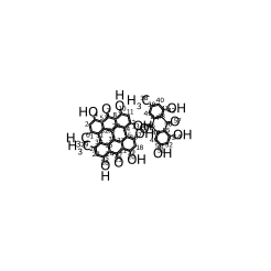 Cc1cc(O)c2c(=O)c3c(O)cc(O)c4c5c(O)cc(O)c6c(=O)c7c(O)cc(C)c8c1c2c(c34)c(c78)c65.Cc1cc(O)c2c(c1)C(=O)c1cc(O)cc(O)c1C2=O